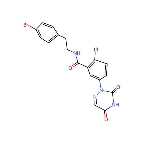 O=C(NCCc1ccc(Br)cc1)c1cc(-n2ncc(=O)[nH]c2=O)ccc1Cl